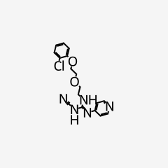 N#CN/C(=N/c1ccncc1)NCCOCCOc1ccccc1Cl